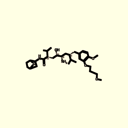 COCCCOc1cc(C[C@@H](C[C@H](N)[C@@H](O)C[C@H](C(=O)NC2CC3CCC2O3)C(C)C)C(C)C)ccc1OC